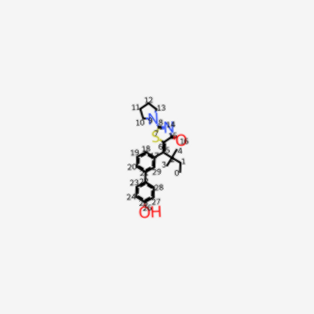 CCC(C)(C)/C(=C1/SC(N2CCCC2)=NC1=O)c1cccc(-c2ccc(O)cc2)c1